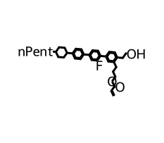 C=CC(=O)OCCCc1cc(-c2ccc(-c3ccc(C4CCC(CCCCC)CC4)cc3)cc2F)ccc1CCO